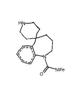 CNC(=O)N1CCCC2(CCNCC2)c2ccccc21